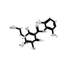 CCc1c(C(=O)Nc2c(C)cccc2C)c(=O)c(Br)c(C)n1CCOC